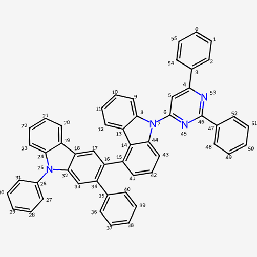 c1ccc(-c2cc(-n3c4ccccc4c4c(-c5cc6c7ccccc7n(-c7ccccc7)c6cc5-c5ccccc5)cccc43)nc(-c3ccccc3)n2)cc1